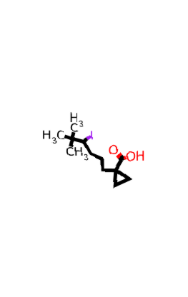 CC(C)(C)C(I)CCCC1(C(=O)O)CC1